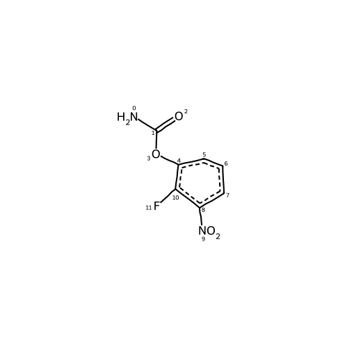 NC(=O)Oc1cccc([N+](=O)[O-])c1F